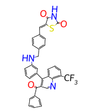 O=C1NC(=O)C(=Cc2ccc(CNc3cccc(-c4c(C(=O)c5ccccc5)cnc5c(C(F)(F)F)cccc45)c3)cc2)S1